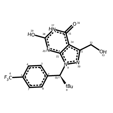 CC(C)(C)[C@@H](c1ccc(C(F)(F)F)cc1)n1nc(CO)c2c(=O)[nH]c(O)nc21